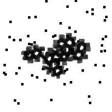 CC1(C)c2ccccc2N2c3ccc(N(c4cccc5ccccc45)c4cccc5ccccc45)cc3C(C)(C)c3cc(-c4ccc5ccccc5c4)cc1c32